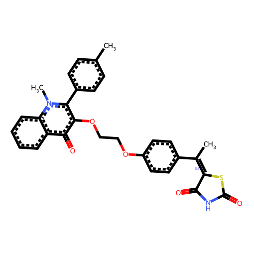 C/C(=C1\SC(=O)NC1=O)c1ccc(OCCOc2c(-c3ccc(C)cc3)n(C)c3ccccc3c2=O)cc1